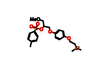 COCC(COc1ccc(OCC[S+](C)C)cc1)OS(=O)(=O)c1ccc(C)cc1